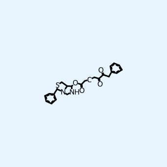 O=C(CCCC(=O)C(=O)Cc1ccccc1)OC1NCN2C(c3ccccc3)SCC12